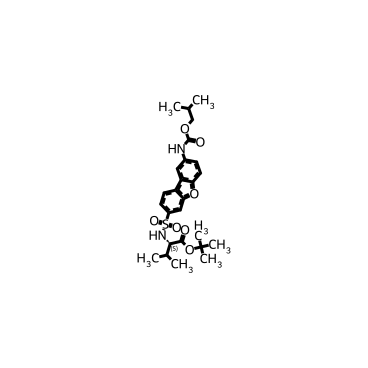 CC(C)COC(=O)Nc1ccc2oc3cc(S(=O)(=O)N[C@H](C(=O)OC(C)(C)C)C(C)C)ccc3c2c1